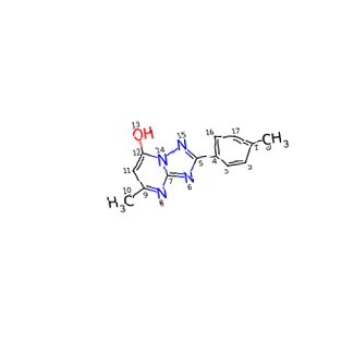 Cc1ccc(-c2nc3nc(C)cc(O)n3n2)cc1